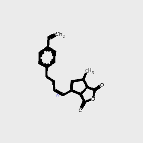 C=Cc1ccc(CC/C=C\C2CC(C)C3C(=O)OC(=O)C23)cc1